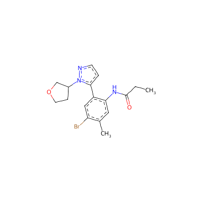 CCC(=O)Nc1cc(C)c(Br)cc1-c1ccnn1C1CCOC1